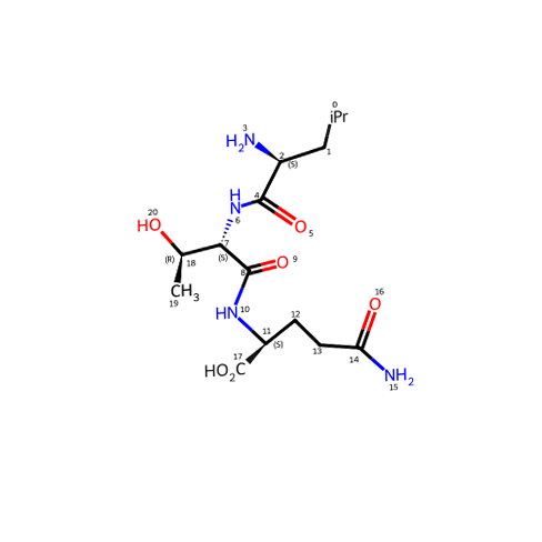 CC(C)C[C@H](N)C(=O)N[C@H](C(=O)N[C@@H](CCC(N)=O)C(=O)O)[C@@H](C)O